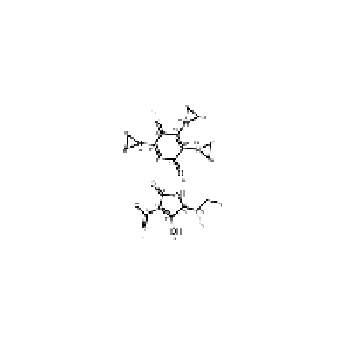 CC[C@H](C)[C@@H]1NC(=O)C(C(C)=O)=C1O.O=C1C=C(N2CC2)C(=O)C(N2CC2)=C1N1CC1